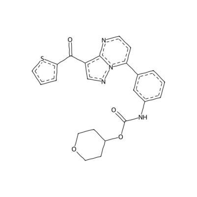 O=C(Nc1cccc(-c2ccnc3c(C(=O)c4cccs4)cnn23)c1)OC1CCOCC1